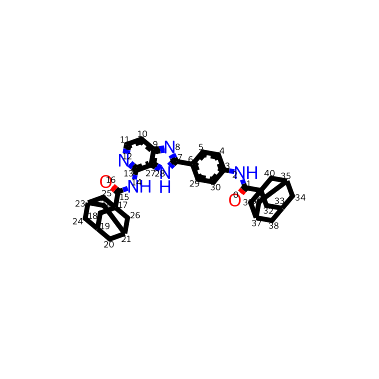 O=C(Nc1ccc(-c2nc3ccnc(NC(=O)C45CC6CC(CC(C6)C4)C5)c3[nH]2)cc1)C12CC3CC(CC(C3)C1)C2